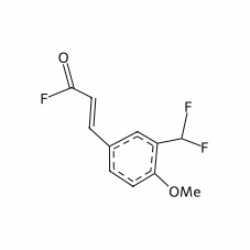 COc1ccc(/C=C/C(=O)F)cc1C(F)F